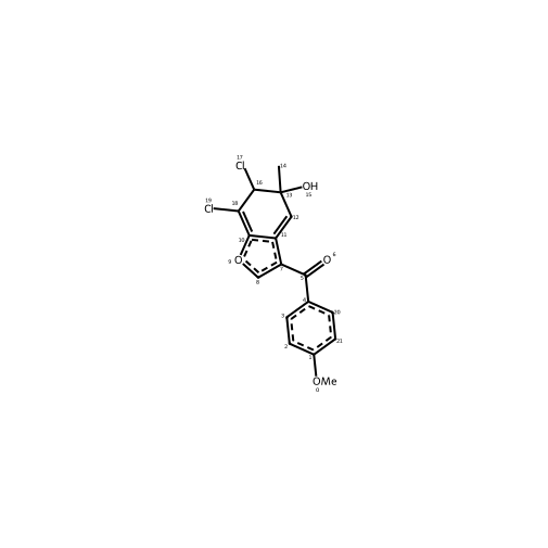 COc1ccc(C(=O)c2coc3c2=CC(C)(O)C(Cl)C=3Cl)cc1